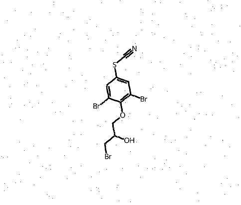 N#CSc1cc(Br)c(OCC(O)CBr)c(Br)c1